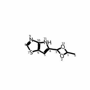 CC1OC(c2cc3scnc3[nH]2)O1